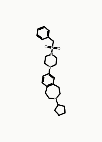 O=S(=O)(Cc1ccccc1)N1CCN(c2ccc3c(c2)CCN(C2CCCC2)CC3)CC1